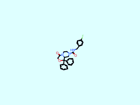 O=C(NCc1ccc(F)cc1)N1CCN2C(=O)COC(c3ccccc3)(c3ccccc3)C2C1